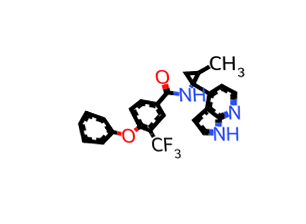 CC1CC1(NC(=O)c1ccc(Oc2ccccc2)c(C(F)(F)F)c1)c1ccnc2[nH]ccc12